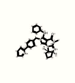 CN1C(=O)c2c(cn(Cc3ccc(-c4ccccn4)cc3)c2Nc2ccccc2)N2C1=N[C@@H]1CCC[C@@H]12